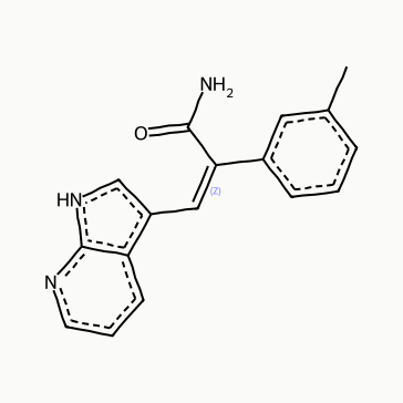 Cc1cccc(/C(=C/c2c[nH]c3ncccc23)C(N)=O)c1